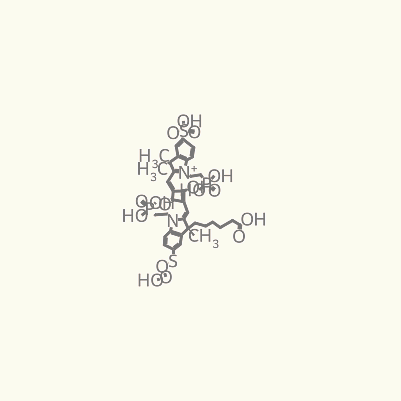 CC1(C)C(C=C2C(=O)C(C=C3N(CCP(=O)(O)O)c4ccc(SOOO)cc4[C@@]3(C)CCCCCC(=O)O)=C2O)=[N+](CCP(=O)(O)O)c2ccc(S(=O)(=O)O)cc21